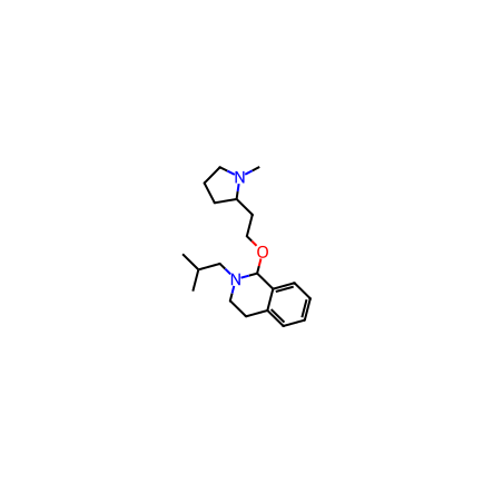 CC(C)CN1CCc2ccccc2C1OCCC1CCCN1C